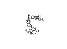 Cc1c(N2CCc3cnc(Nc4ccc(CS(C)(=O)=O)cc4)nc3C2)cnc2c1NCCC2=O